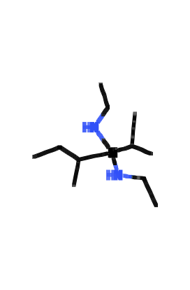 CCN[Si](NCC)(C(C)C)C(C)CC